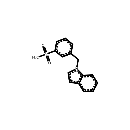 CS(=O)(=O)c1cccc(Cn2ccc3ccccc32)c1